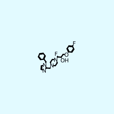 O[C@@H](COc1ccc(F)cc1)C(F)N1CCN(Cc2nccn2Cc2ccccc2)CC1